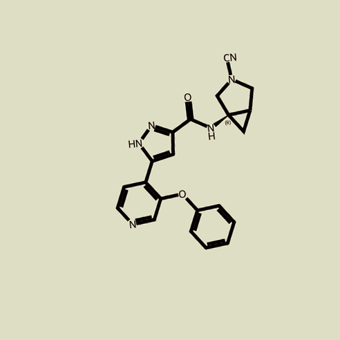 N#CN1CC2C[C@]2(NC(=O)c2cc(-c3ccncc3Oc3ccccc3)[nH]n2)C1